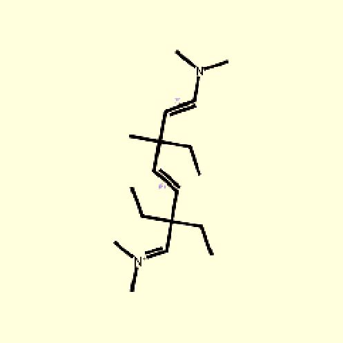 CCC(C)(/C=C/N(C)C)/C=C/C(C=[N+](C)C)(CC)CC